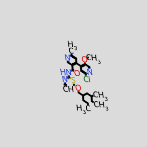 C#C/N=C(/NC(=O)c1cnc(C)cc1-c1cc(Cl)ncc1OC)SCOCC(CCC)CC(C)CC